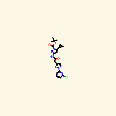 CC(C)(C)OC(=O)n1nc(NC(=O)Cc2ccn(-c3cccc(Cl)n3)n2)cc1C1CC1